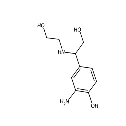 Nc1cc(C(CO)NCCO)ccc1O